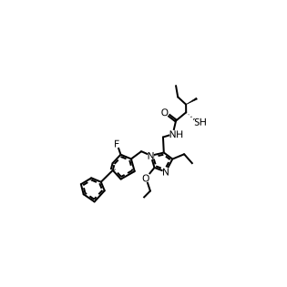 CCOc1nc(CC)c(CNC(=O)[C@@H](S)[C@H](C)CC)n1Cc1ccc(-c2ccccc2)cc1F